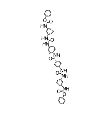 O=C(Nc1ccc(NC(=O)c2ccc(NC(=O)Nc3cccc(NC(=O)Oc4ccccc4)c3)cc2)cc1)Nc1cccc(NC(=O)Oc2ccccc2)c1